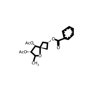 CC(=O)O[C@H]1C(C)O[C@]2(C[C@@H](OC(=O)c3ccccc3)C2)[C@H]1OC(C)=O